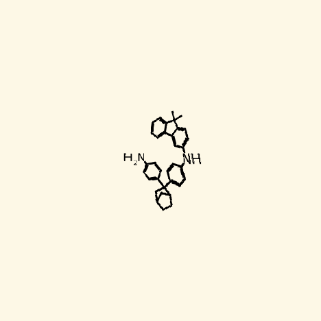 CC1(C)c2ccccc2-c2cc(Nc3ccc(C4(c5ccc(N)cc5)CC5CCC4C5)cc3)ccc21